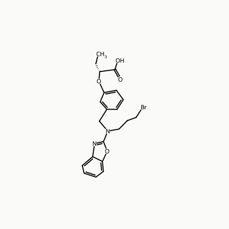 CC[C@@H](Oc1cccc(CN(CCCBr)c2nc3ccccc3o2)c1)C(=O)O